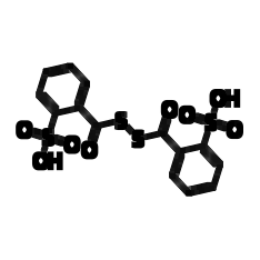 O=C(SSC(=O)c1ccccc1S(=O)(=O)O)c1ccccc1S(=O)(=O)O